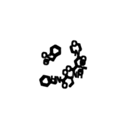 CC[C@H](NC(=O)C(CC(=O)N1CCOCC1)S(C)(=O)=O)C(=O)C(=O)NCc1ccccc1.O=S1(=O)Cc2ccccc21